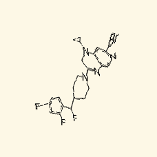 Fc1ccc(C(F)C2CCN(C3=Nc4cnc(Br)cc4N(C4CC4)C3)CC2)c(F)c1